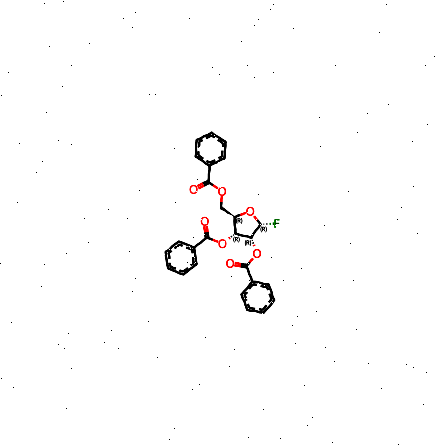 O=C(OC[C@H]1O[C@H](F)[C@H](OC(=O)c2ccccc2)[C@@H]1OC(=O)c1ccccc1)c1ccccc1